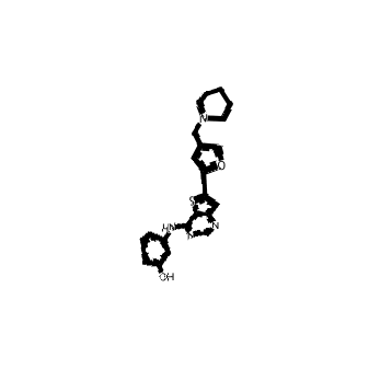 Oc1cccc(Nc2ncnc3cc(-c4cc(CN5CCCCC5)co4)sc23)c1